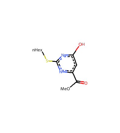 CCCCCCSc1nc(O)cc(C(=O)OC)n1